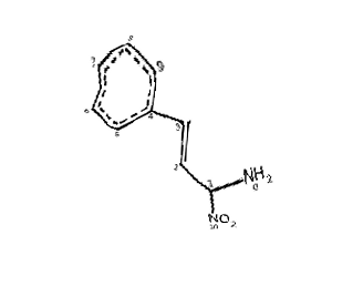 NC(C=Cc1ccccc1)[N+](=O)[O-]